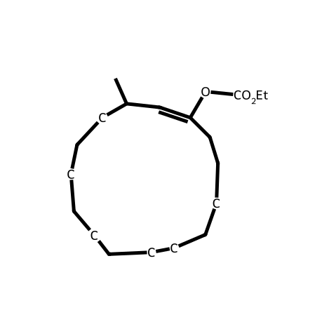 CCOC(=O)OC1=CC(C)CCCCCCCCCCCC1